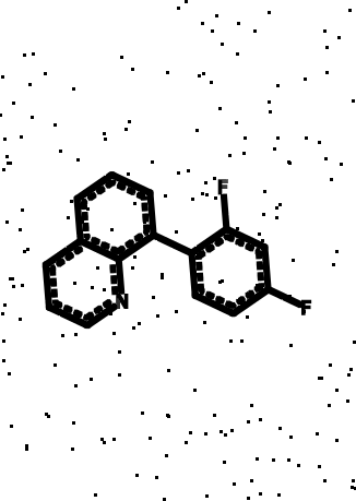 Fc1ccc(-c2cccc3cccnc23)c(F)c1